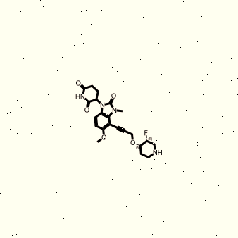 COc1ccc2c(c1C#CCO[C@H]1CCNC[C@H]1F)n(C)c(=O)n2C1CCC(=O)NC1=O